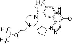 Cc1cc2[nH]c(=O)c3cnn(C4CCCC4)c3c2cc1C(=O)N1CCN(CCOC(C)C)CC1